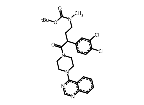 CN(CCC(C(=O)N1CCN(c2ncnc3ccccc23)CC1)c1ccc(Cl)c(Cl)c1)C(=O)OC(C)(C)C